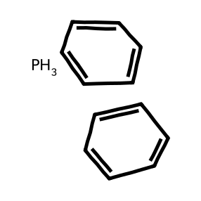 P.c1ccccc1.c1ccccc1